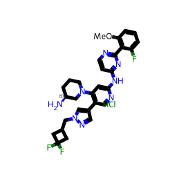 COc1cccc(F)c1-c1nccc(Nc2cc(N3CCC[C@H](N)C3)c(-c3cnn(CC4CC(F)(F)C4)c3)cn2)n1.Cl